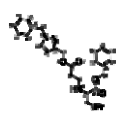 CC(C)CC(NCCC(=O)OCc1ccn(Cc2ccccc2)n1)C(=O)OCc1ccccc1